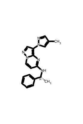 Cc1cnn(-c2cnn3ccc(N[C@H](C)c4ccccc4)nc23)c1